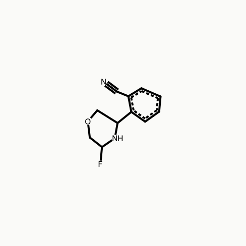 N#Cc1ccccc1C1COCC(F)N1